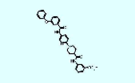 O=C(O)c1cccc(NC(=O)C2CCN(c3ccc(NC(=O)c4cccc(Oc5ccccc5)c4)cn3)CC2)c1